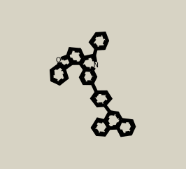 c1ccc(-c2nc3cc(-c4ccc(-c5cc6ccccc6c6ccccc56)cc4)ccc3c3c2ccc2oc4ccccc4c23)cc1